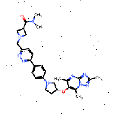 Cc1nc2nc(C)c(O[C@@H]3CCN(c4ccc(-c5ccc(CN6CC(C(=O)N(C)C)C6)nn5)cc4)C3)c(C)n2n1